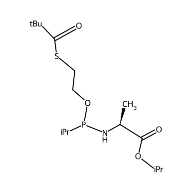 CC(C)OC(=O)[C@H](C)NP(OCCSC(=O)C(C)(C)C)C(C)C